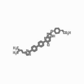 CN(C)CCn1cnc(-c2ccc(-c3ccc(-c4nc5nc(O[C@H]6CC[C@H](CC(=O)O)CC6)[nH]c5cc4Cl)cc3)cc2)n1